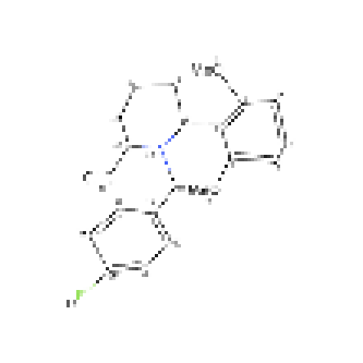 COc1cccc(OC)c1C1CCCC(C=O)N1Cc1ccc(F)cc1